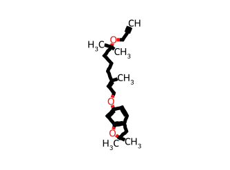 C#CCOC(C)(C)CCC/C(C)=C/COc1ccc2c(c1)OC(C)(C)C2